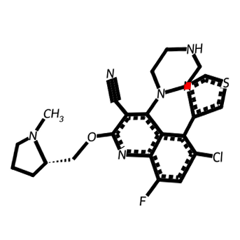 CN1CCC[C@H]1COc1nc2c(F)cc(Cl)c(-c3cscn3)c2c(N2CCNCC2)c1C#N